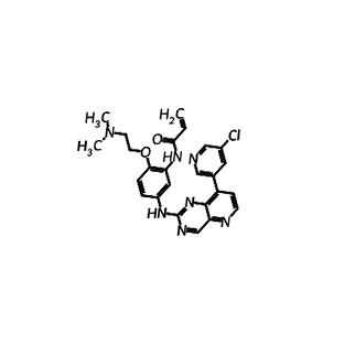 C=CC(=O)Nc1cc(Nc2ncc3nccc(-c4cncc(Cl)c4)c3n2)ccc1OCCN(C)C